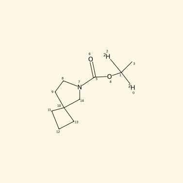 [2H]C([2H])(C)OC(=O)N1CCC2(CCC2)C1